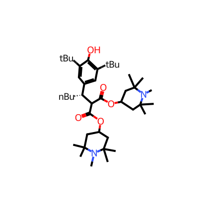 CCCC[C@H](c1cc(C(C)(C)C)c(O)c(C(C)(C)C)c1)C(C(=O)OC1CC(C)(C)N(C)C(C)(C)C1)C(=O)OC1CC(C)(C)N(C)C(C)(C)C1